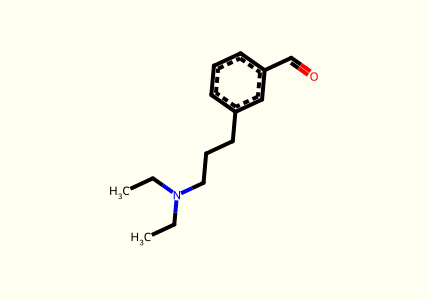 CCN(CC)CCCc1cccc(C=O)c1